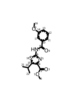 COC(=O)c1nc(NC(=O)c2cccc(OC)c2)sc1C(C)C